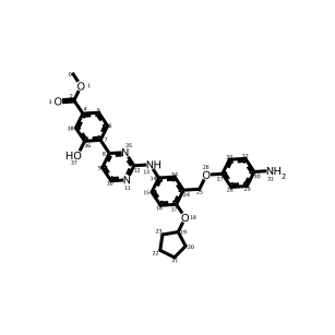 COC(=O)c1ccc(-c2ccnc(Nc3ccc(OC4CCCC4)c(COc4ccc(N)cc4)c3)n2)c(O)c1